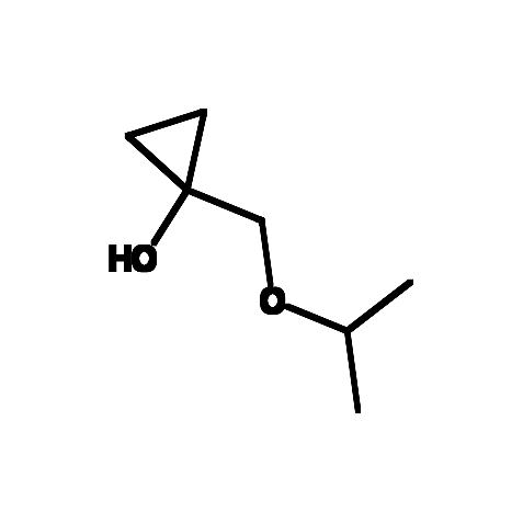 CC(C)OCC1(O)CC1